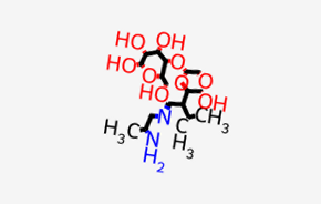 CC(N)C/N=C/C(C(C)C)C(CO)OC(C=O)OC1C(CO)OC(O)C(O)C1O